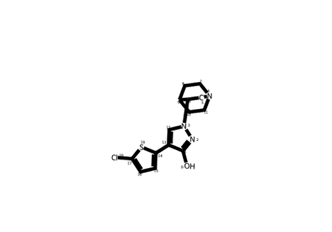 Oc1nn(C2CN3CCC2CC3)cc1-c1ccc(Cl)s1